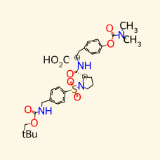 CN(C)C(=O)Oc1ccc(C[C@H](NC(=O)[C@@H]2CCCN2S(=O)(=O)c2ccc(CNC(=O)OCC(C)(C)C)cc2)C(=O)O)cc1